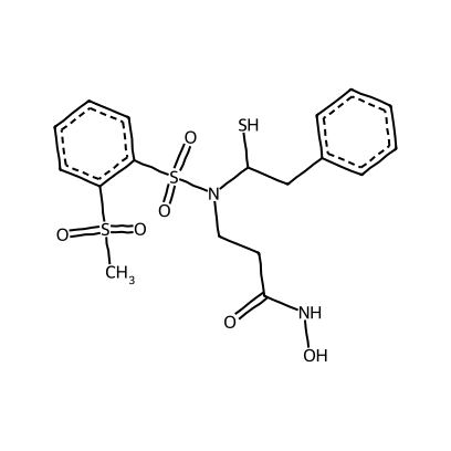 CS(=O)(=O)c1ccccc1S(=O)(=O)N(CCC(=O)NO)C(S)Cc1ccccc1